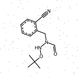 CC(C)(C)ONN(C=O)Cc1ccccc1C#N